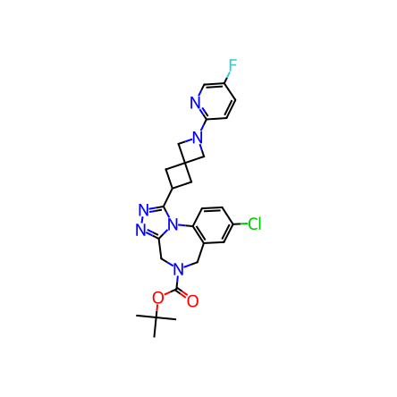 CC(C)(C)OC(=O)N1Cc2cc(Cl)ccc2-n2c(nnc2C2CC3(C2)CN(c2ccc(F)cn2)C3)C1